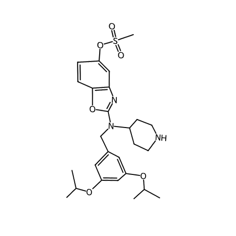 CC(C)Oc1cc(CN(c2nc3cc(OS(C)(=O)=O)ccc3o2)C2CCNCC2)cc(OC(C)C)c1